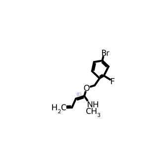 C=C/C=C(\NC)OCc1ccc(Br)cc1F